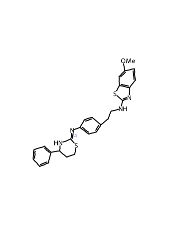 COc1ccc2nc(NCCc3ccc(/N=C4/NC(c5ccccc5)CCS4)cc3)sc2c1